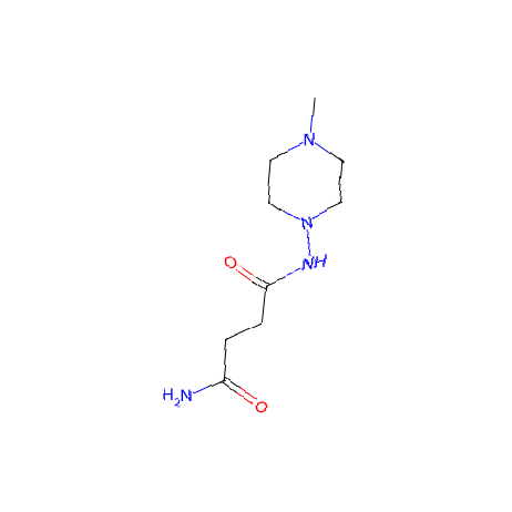 CN1CCN(NC(=O)CCC(N)=O)CC1